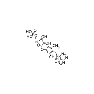 Cc1cc(OC2O[C@H](COP(=O)(O)O)[C@@H](O)[C@H]2O)cc(C)c1CNc1ncnc2nc[nH]c12